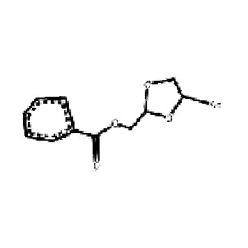 CC(=O)C1COC(COC(=O)c2ccccc2)O1